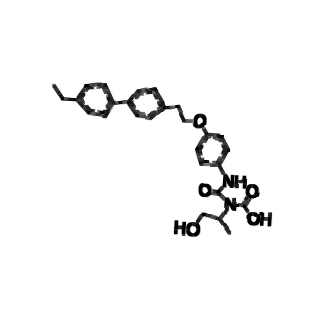 CCc1ccc(-c2ccc(CCOc3ccc(NC(=O)N(C(=O)O)C(C)CO)cc3)cc2)cc1